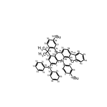 CC(C)(C)c1ccc(N2c3cc(N(c4ccccc4)c4ccccc4)cc4c3B(c3cc(C(C)(C)C)ccc3C4(C)C)c3ccc4c(oc5ccccc54)c32)cc1